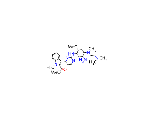 COC(=O)c1c(-c2ccnc(Nc3cc(N)c(N(C)CCN(C)C)cc3OC)n2)c2ccccc2n1C